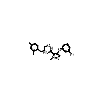 CCc1cccc(Oc2cnn(C)c2C2=NOCC(Cc3ccc(C)cc3C)N2)c1